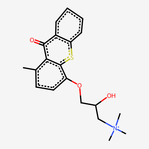 Cc1ccc(OCC(O)C[N+](C)(C)C)c2sc3ccccc3c(=O)c12